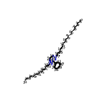 CCCCCCCCCCCCCCCCCCN1C=CN(CCCCCCCCCCCCC)C1c1ccccc1